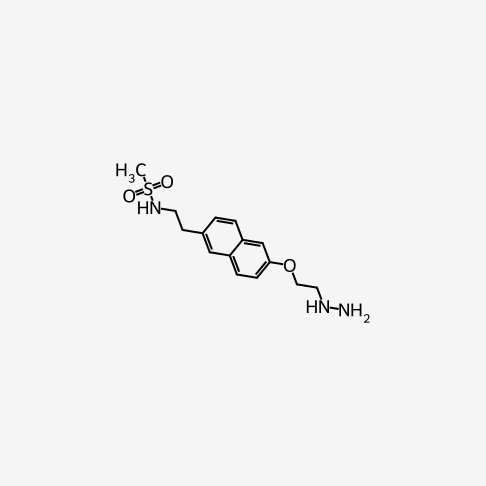 CS(=O)(=O)NCCc1ccc2cc(OCCNN)ccc2c1